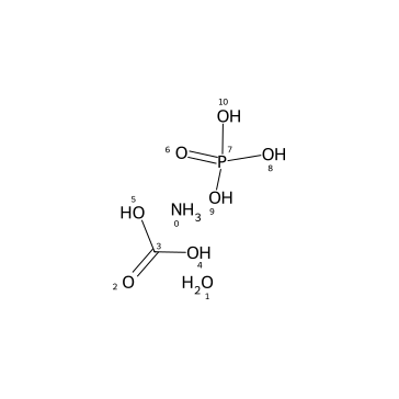 N.O.O=C(O)O.O=P(O)(O)O